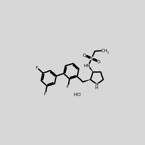 CCS(=O)(=O)N[C@H]1CCN[C@H]1Cc1cccc(-c2cc(F)cc(F)c2)c1F.Cl